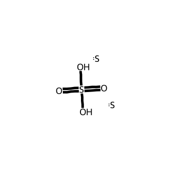 O=S(=O)(O)O.[S].[S]